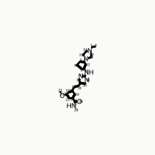 CCN1CCN(c2cccc(Nc3ncc(C=Cc4cc(OC)cc(C(=O)NC)c4)cn3)c2)CC1